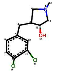 CN1CC(Cc2ccc(Cl)c(Cl)c2)[C@H](O)C1